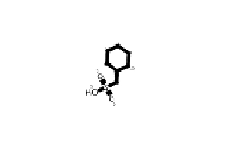 O=S(=O)(O)CC1C[CH]CCC1